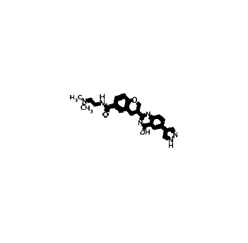 CN(C)CCNC(=O)c1ccc2c(c1)CC(c1nc(O)c3cc(C4C=NNC4)ccc3n1)CO2